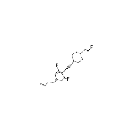 C=CCCc1cc(F)c(C#CC2CCC(/C=C/F)CC2)c(F)c1